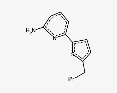 CC(C)Cc1ccc(-c2cccc(N)n2)s1